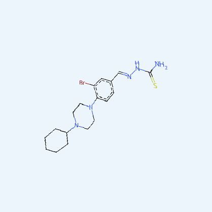 NC(=S)NN=Cc1ccc(N2CCN(C3CCCCC3)CC2)c(Br)c1